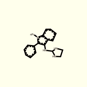 CCCn1c(-c2ccccc2)c(NC2NCCN2)c2ccccc21